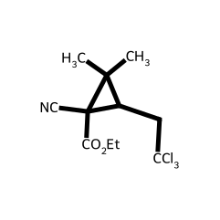 CCOC(=O)C1(C#N)C(CC(Cl)(Cl)Cl)C1(C)C